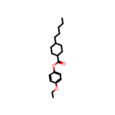 CCCCCC1CCC(C(=O)Oc2ccc(OCC)cc2)CC1